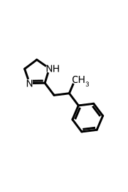 CC(CC1=NCCN1)c1ccccc1